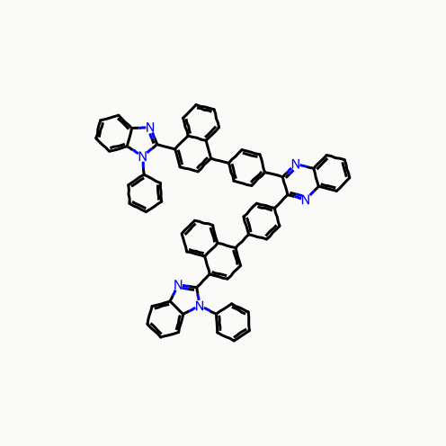 c1ccc(-n2c(-c3ccc(-c4ccc(-c5nc6ccccc6nc5-c5ccc(-c6ccc(-c7nc8ccccc8n7-c7ccccc7)c7ccccc67)cc5)cc4)c4ccccc34)nc3ccccc32)cc1